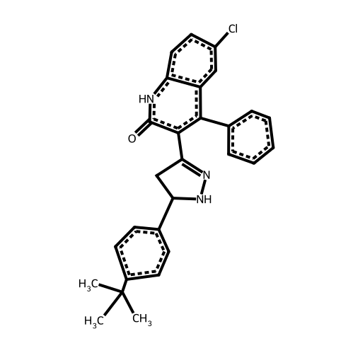 CC(C)(C)c1ccc(C2CC(c3c(-c4ccccc4)c4cc(Cl)ccc4[nH]c3=O)=NN2)cc1